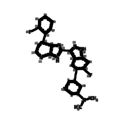 CN(C)c1cncc(-c2cc3c(-c4nc5c(-c6ccccc6F)ccnc5[nH]4)n[nH]c3cc2F)c1